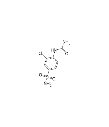 NC(=O)Nc1ccc(S(N)(=O)=O)cc1Cl